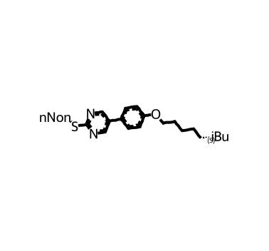 CCCCCCCCCSc1ncc(-c2ccc(OCCCCC[C@@H](C)CC)cc2)cn1